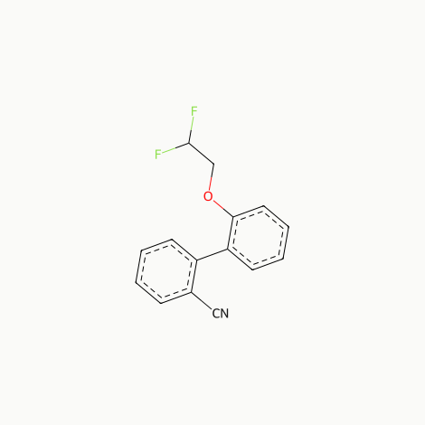 N#Cc1ccccc1-c1ccccc1OCC(F)F